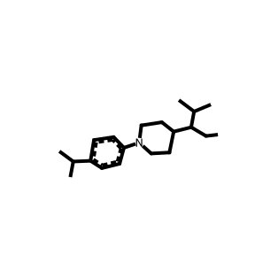 CCC(C(C)C)C1CCN(c2ccc(C(C)C)cc2)CC1